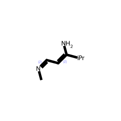 C/N=C\C=C(/N)C(C)C